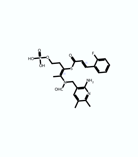 C/C(=C(\CCOP(=O)(O)O)SC(=O)/C=C/c1ccccc1F)N(C=O)Cc1cc(C)c(C)nc1N